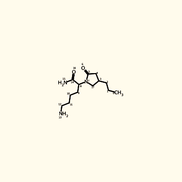 CCCC1CC(=O)N(C(CCCCN)C(N)=O)C1